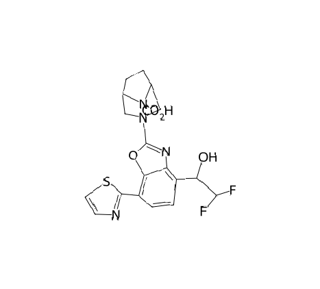 O=C(O)N1C2CCC1CN(c1nc3c(C(O)C(F)F)ccc(-c4nccs4)c3o1)C2